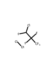 CCCl.FC(Cl)C(F)(F)C(F)(F)F